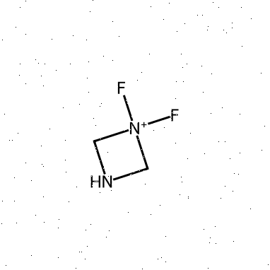 F[N+]1(F)CNC1